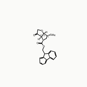 CS[C@H]1CN(C(=O)OCC2c3ccccc3-c3ccccc32)[C@@H]2C(=O)CO[C@H]12